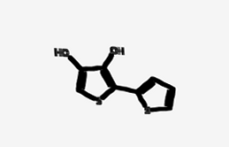 Oc1csc(-c2cccs2)c1O